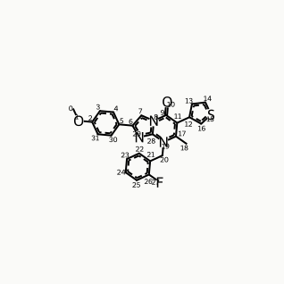 COc1ccc(-c2cn3c(=O)c(-c4ccsc4)c(C)n(Cc4ccccc4F)c3n2)cc1